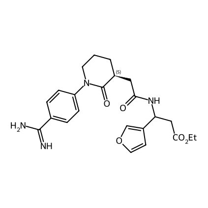 CCOC(=O)CC(NC(=O)C[C@@H]1CCCN(c2ccc(C(=N)N)cc2)C1=O)c1ccoc1